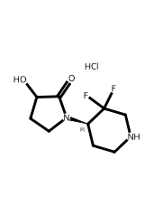 Cl.O=C1C(O)CCN1[C@@H]1CCNCC1(F)F